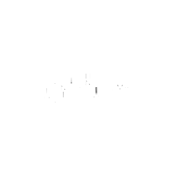 COCC(=O)NCC(=O)N1CCOCC1